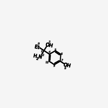 CCC(N)(O)c1ccc(O)cc1